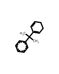 CC(C)(C1=CCCC=C1)c1ccccc1